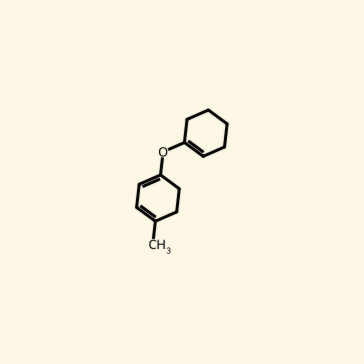 CC1=CC=C(OC2=CCCCC2)CC1